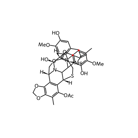 C=CCN1C2c3c(cc(C)c(OC)c3O)C[C@H]1[C@H](O)N1C2[C@@H]2SC[C@]3(NCCc4cc(O)c(OC)cc43)C(=O)OC[C@H]1c1c3c(c(C)c(OC(C)=O)c12)OCO3